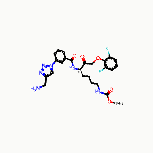 CC(C)(C)OC(=O)NCCCC[C@@H](NC(=O)c1cccc(-n2cc(CN)nn2)c1)C(=O)COc1c(F)cccc1F